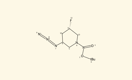 CC(C)(C)OC(=O)N1CC(N=[N+]=[N-])C[C@H](F)C1